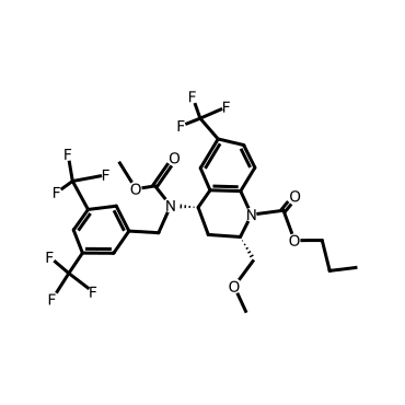 CCCOC(=O)N1c2ccc(C(F)(F)F)cc2[C@@H](N(Cc2cc(C(F)(F)F)cc(C(F)(F)F)c2)C(=O)OC)C[C@H]1COC